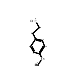 CCC(C)Oc1ccc(CCC=O)cc1